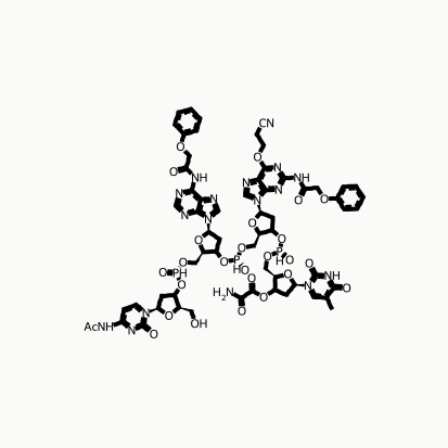 CC(=O)Nc1ccn([C@H]2CC(O[PH](=O)OC[C@H]3O[C@@H](n4cnc5c(NC(=O)COc6ccccc6)ncnc54)CC3O[PH](=O)OC[C@H]3O[C@@H](n4cnc5c(OCCC#N)nc(NC(=O)COc6ccccc6)nc54)CC3O[PH](=O)OC[C@H]3O[C@@H](n4cc(C)c(=O)[nH]c4=O)CC3OC(=O)C(N)=O)[C@@H](CO)O2)c(=O)n1